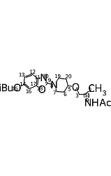 CC(=O)N[C@@H](C)COC1CCN(c2nc3ccc(OCC(C)C)cc3o2)CC1